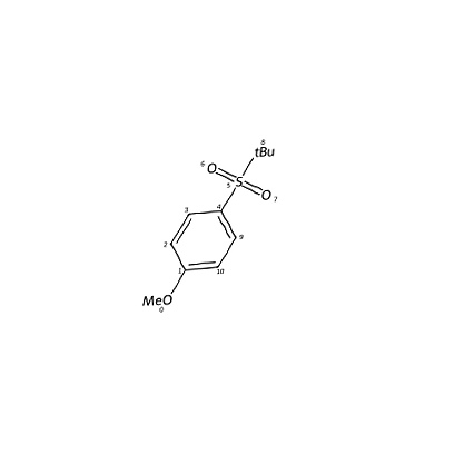 COc1ccc(S(=O)(=O)C(C)(C)C)cc1